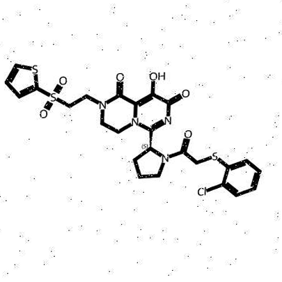 O=C1c2c(O)c(=O)nc([C@@H]3CCCN3C(=O)CSc3ccccc3Cl)n2CCN1CCS(=O)(=O)c1cccs1